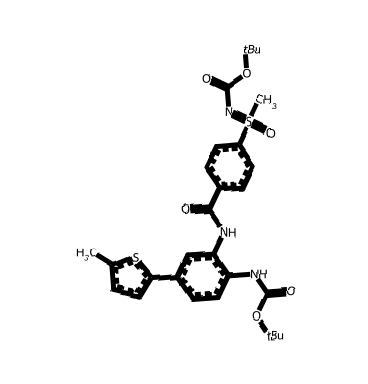 Cc1ccc(-c2ccc(NC(=O)OC(C)(C)C)c(NC(=O)c3ccc(S(C)(=O)=NC(=O)OC(C)(C)C)cc3)c2)s1